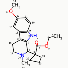 CCOC(=O)C1(C2c3[nH]c4ccc(OC)cc4c3CCN2C)CCC1